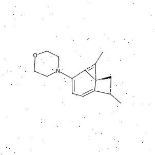 CC1=C2C(N3CCOCC3)=CC=C3C(C)C[C@]312